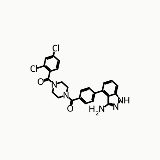 Nc1n[nH]c2cccc(-c3ccc(C(=O)N4CCN(C(=O)c5ccc(Cl)cc5Cl)CC4)cc3)c12